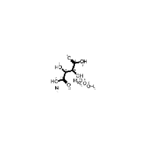 O.O.O.O=C(O)C(O)C(O)C(=O)O.[Ni]